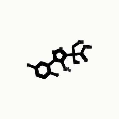 COC(=O)C(CO)(c1nnn(-c2cc(F)ccc2F)c1N)C(C)(C)C